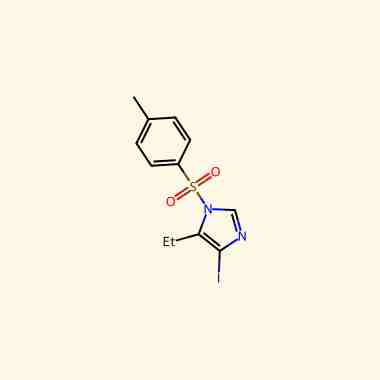 CCc1c(I)ncn1S(=O)(=O)c1ccc(C)cc1